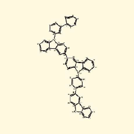 c1ccc(-c2cccc(-n3c4ccccc4c4cc(-c5ccc6c(c5)c5ccccc5n6-c5ccc(-c6ccc7oc8ccccc8c7c6)cc5)ccc43)c2)cc1